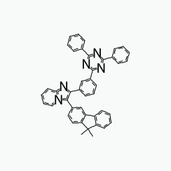 CC1(C)c2ccccc2-c2cc(-c3c(-c4cccc(-c5nc(-c6ccccc6)nc(-c6ccccc6)n5)c4)nc4ccccn34)ccc21